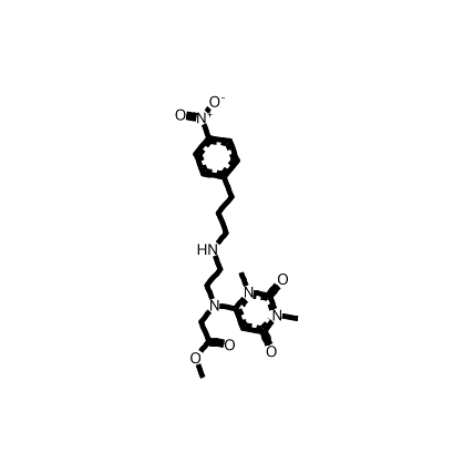 COC(=O)CN(CCNCCCc1ccc([N+](=O)[O-])cc1)c1cc(=O)n(C)c(=O)n1C